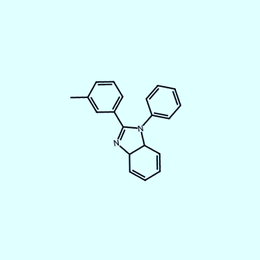 Cc1cccc(C2=NC3C=CC=CC3N2c2ccccc2)c1